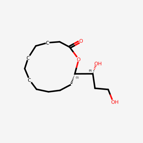 O=C1CCCCCCCCCC[C@@H]([C@H](O)CCO)O1